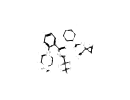 N#CC1(NC(=O)[C@@H]2C[C@@H](F)CC[C@H]2c2oc(C(F)(F)C(F)(F)F)nc2-c2ccccc2N2CCS(=O)(=O)CC2)CC1